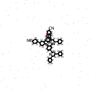 N#Cc1ccc(-c2ccc3c(c2)c2cc(-c4ccc(C#N)cc4)ccc2n3-c2ccc(-c3nc(-c4ccccc4)cc(-c4ccccc4)n3)cc2-c2nc(-c3ccccc3)cc(-c3ccccc3)n2)cc1